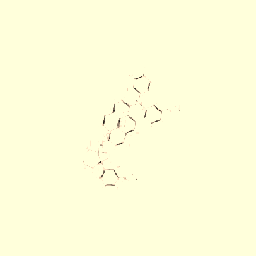 Cc1ccc(N(c2cccc(C#N)c2)c2ccc3ccc4c(NC5(C)CCCCC5(C)c5cccc(C#N)c5)ccc5ccc2c3c54)cc1